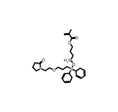 C=C(C)C(=O)OCCC[SiH2]O[Si](CCCOCCN1CCCC1=O)(C1C=CC=CC1)C1C=CC=CC1